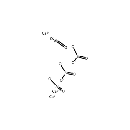 O=[Si]([O-])[O-].O=[Si]([O-])[O-].[Ca+2].[Ca+2].[Ca+2].[O]=[Al][O-].[O]=[Al][O-]